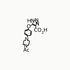 CC(=O)N1CCN(c2ccc(Oc3[nH]nnc3C(=O)O)cc2)CC1